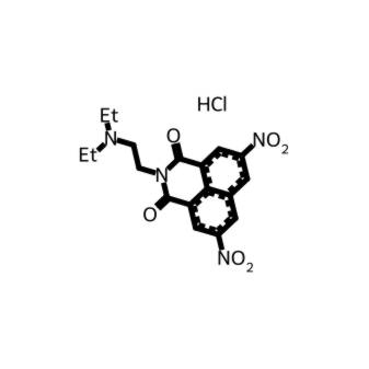 CCN(CC)CCN1C(=O)c2cc([N+](=O)[O-])cc3cc([N+](=O)[O-])cc(c23)C1=O.Cl